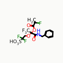 C=C(F)C(=O)OC(OCC(F)(F)S(=O)(=O)O)(C(=O)NCc1ccccc1)C(F)(F)F